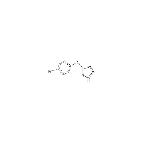 Brc1ccc(Sc2cc[nH]n2)cc1